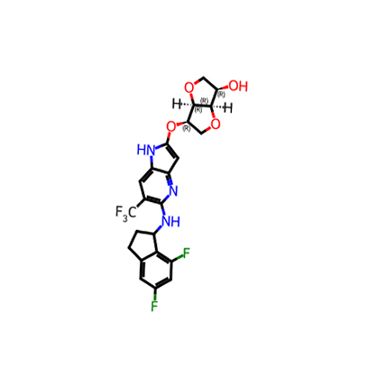 O[C@@H]1CO[C@H]2[C@@H]1OC[C@H]2Oc1cc2nc(NC3CCc4cc(F)cc(F)c43)c(C(F)(F)F)cc2[nH]1